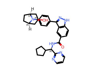 O=C(N[C@@H](c1ncccn1)C1CCCC1)c1ccc2[nH]nc(-c3ccc(N4[C@@H]5CC[C@H]4C[C@@H](O)C5)cc3)c2c1